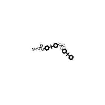 COC(=O)Oc1ccc(C(C)(C)c2ccc(OC(=O)Oc3ccc(C(C)(C)c4ccccc4)cc3)cc2)cc1